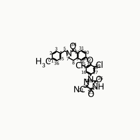 Cc1ccc(CN2CCc3cc(Oc4c(Cl)cc(-n5nc(C#N)c(=O)[nH]c5=O)cc4Cl)ccc3C2=O)cc1